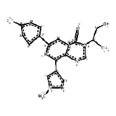 CC(CO)n1cnc2c(-c3cnn(C)c3)nc(-c3ccc(C(F)(F)F)cc3)cc2c1=O